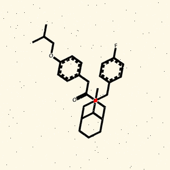 CC(C)COc1ccc(CC(=O)N(Cc2ccc(F)cc2)C2C3CCCC2CN(C)C3)cc1